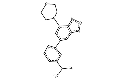 OC(c1cccc(-c2cc(N3CCOCC3)c3nonc3c2)c1)C(F)(F)F